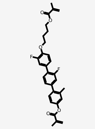 C=C(C)C(=O)OCCCCOc1ccc(-c2ccc(-c3ccc(OC(=O)C(=C)C)cc3C)cc2F)cc1F